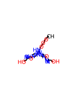 C#CCOCCOCCOCCNc1nc(N2CCN(C(=O)Cn3cc(CCO)nn3)CC2)nc(N2CCN(C(=O)Cn3cc(CCO)nn3)CC2)n1